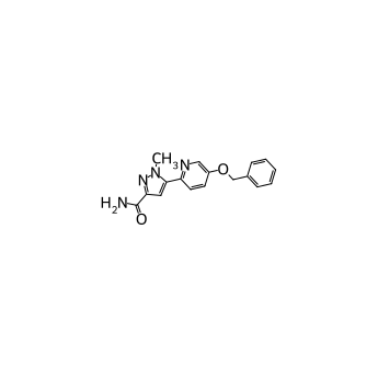 Cn1nc(C(N)=O)cc1-c1ccc(OCc2ccccc2)cn1